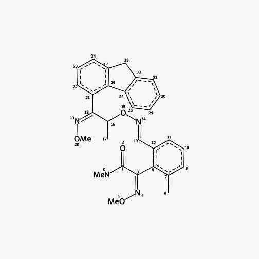 CNC(=O)/C(=N\OC)c1c(C)cccc1/C=N/OC(C)/C(=N\OC)c1cccc2c1-c1ccccc1C2